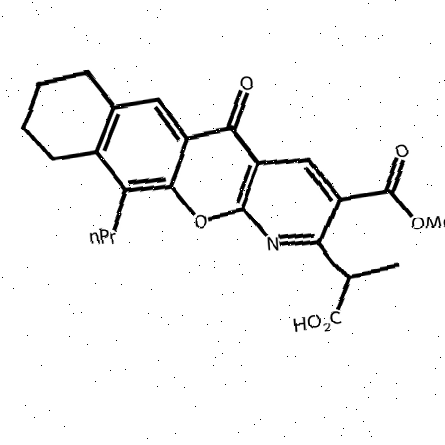 CCCc1c2c(cc3c(=O)c4cc(C(=O)OC)c(C(C)C(=O)O)nc4oc13)CCCC2